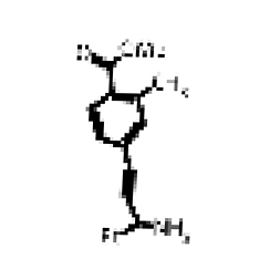 CCC(N)C#Cc1ccc(C(=O)OC)c(C)c1